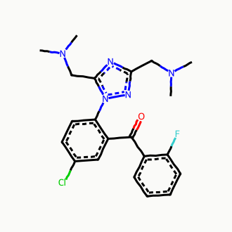 CN(C)Cc1nc(CN(C)C)n(-c2ccc(Cl)cc2C(=O)c2ccccc2F)n1